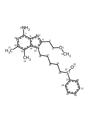 COCCc1nc2c(N)nc(C)c(C)c2n1CCCCC[S+]([O-])c1ccccc1